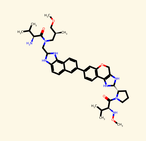 COC[C@@H](C)CN(CC1Nc2ccc3cc(-c4ccc5c(c4)OCC4=C5NC([C@@H]5CCCN5C(=O)[C@@H](NOC)C(C)C)N4)ccc3c2N1)C(=O)[C@@H](N)C(C)C